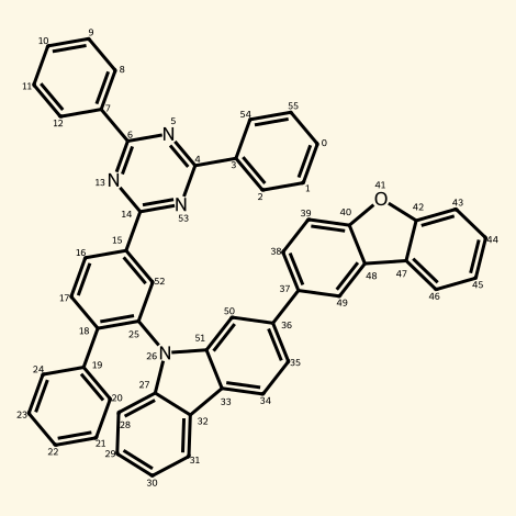 c1ccc(-c2nc(-c3ccccc3)nc(-c3ccc(-c4ccccc4)c(-n4c5ccccc5c5ccc(-c6ccc7oc8ccccc8c7c6)cc54)c3)n2)cc1